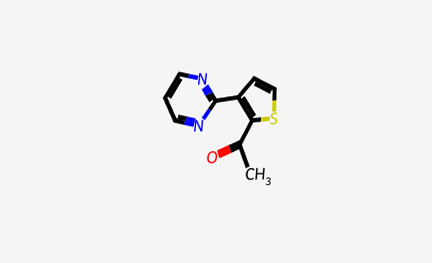 CC(=O)c1sccc1-c1ncccn1